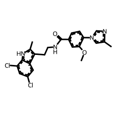 COc1cc(C(=O)NCCc2c(C)[nH]c3c(Cl)cc(Cl)cc23)ccc1-n1cnc(C)c1